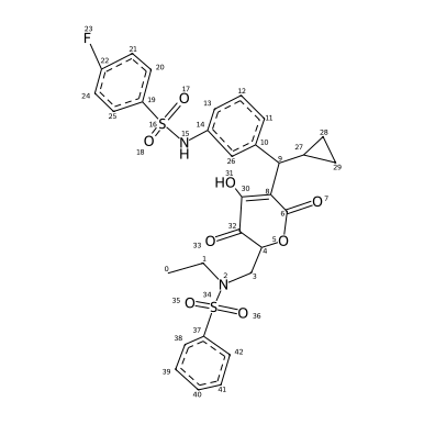 CCN(CC1OC(=O)C(C(c2cccc(NS(=O)(=O)c3ccc(F)cc3)c2)C2CC2)=C(O)C1=O)S(=O)(=O)c1ccccc1